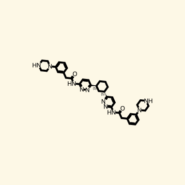 O=C(Cc1cccc(N2CCNCC2)c1)Nc1ccc([C@H]2CCC[C@H](c3ccc(NC(=O)Cc4cccc(N5CCNCC5)c4)nn3)C2)nn1